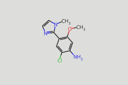 COc1cc(N)c(Cl)cc1-c1nccn1C